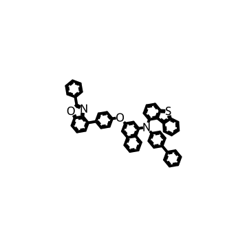 c1ccc(-c2ccc(N(c3cc(Oc4ccc(-c5cccc6oc(-c7ccccc7)nc56)cc4)cc4ccccc34)c3cccc4sc5ccccc5c34)cc2)cc1